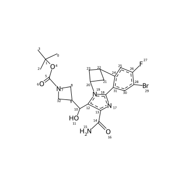 CC(C)(C)OC(=O)N1CC(C(O)c2c(C(N)=O)nc3n2C2CC(C2)c2cc(F)c(Br)cc2-3)C1